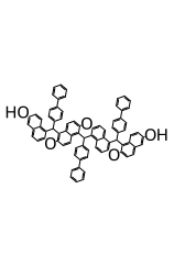 Oc1ccc2c3c(ccc2c1)Oc1ccc2c4c(ccc2c1C3c1ccc(-c2ccccc2)cc1)Oc1ccc2c3c(ccc2c1C4c1ccc(-c2ccccc2)cc1)Oc1ccc2cc(O)ccc2c1C3c1ccc(-c2ccccc2)cc1